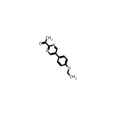 CCOc1ccc(-c2cnc(C(C)=O)nc2)cc1